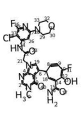 Cn1cnc2c(c(C3C#CC(F)=C(O)C(C(N)=O)=C3)cn2CC(=O)Nc2cc(N3CCOCC3)nc(F)c2Cl)c1=O